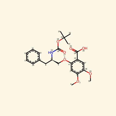 COc1cc(OC[C@@H](Cc2ccccc2)NC(=O)OC(C)(C)C)c(C(=O)O)cc1OC